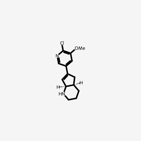 COc1cc(C2=C[C@@H]3NCCC[C@@H]3C2)cnc1Cl